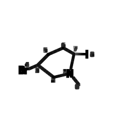 CN1CC(Br)CCC1I